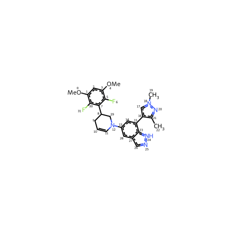 COc1cc(OC)c(F)c(C2CC=CN(c3cc(-c4cn(C)nc4C)c4[nH]ncc4c3)C2)c1F